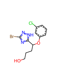 OCCCC(Oc1cccc(Cl)c1)c1nc(Br)n[nH]1